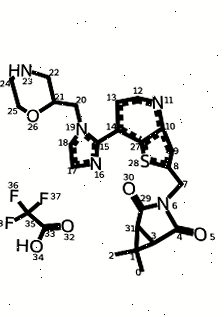 CC1(C)C2C(=O)N(Cc3cc4nccc(-c5nccn5CC5CNCCO5)c4s3)C(=O)C21.O=C(O)C(F)(F)F